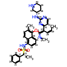 C=N/C(Oc1c(C)ccc2c(NS(=O)(=O)[C@H](C)c3ccccc3)cccc12)=C(\C=C/C)c1ccnc(N[C@H]2CCCNC2)n1